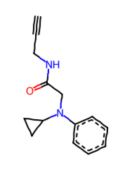 C#CCNC(=O)CN(c1ccccc1)C1CC1